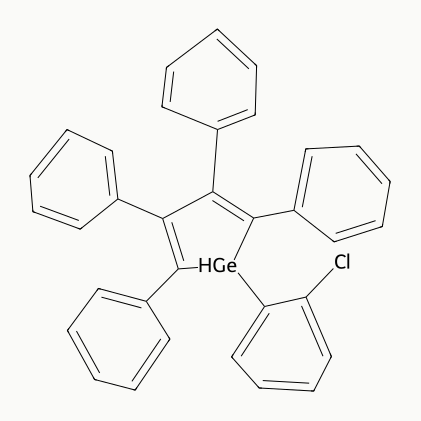 Clc1cccc[c]1[GeH]1[C](c2ccccc2)=C(c2ccccc2)C(c2ccccc2)=[C]1c1ccccc1